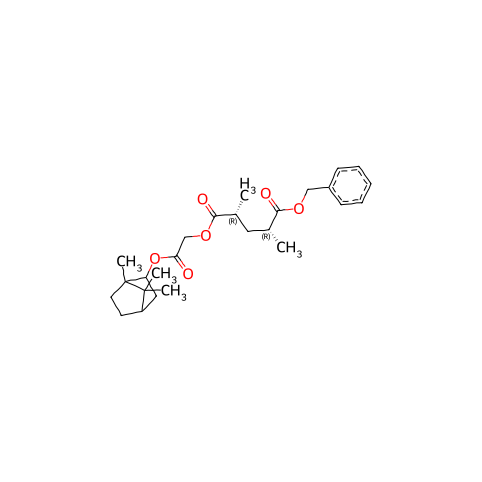 C[C@H](C[C@@H](C)C(=O)OCc1ccccc1)C(=O)OCC(=O)OC1CC2CCC1(C)C2(C)C